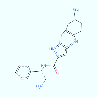 CC(C)(C)C1CCc2nc3cc(C(=O)N[C@H](CN)c4ccccc4)[nH]c3cc2C1